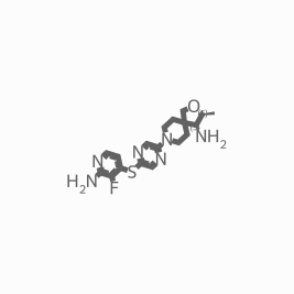 C[C@@H]1OCC2(CCN(c3cnc(Sc4ccnc(N)c4F)cn3)CC2)[C@@H]1N